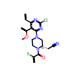 C=Cc1nc(Cl)nc(N2CCN(C(=O)C(=C)F)[C@@H](CC#N)C2)c1C(=C)OC